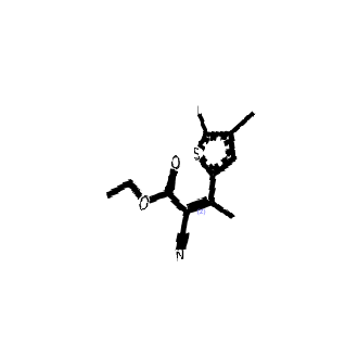 CCOC(=O)/C(C#N)=C(/C)c1cc(C)c(I)s1